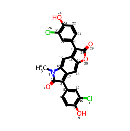 CN1C(=O)C(c2ccc(O)c(Cl)c2)=c2cc3c(cc21)=C(c1ccc(O)c(Cl)c1)C(=O)O3